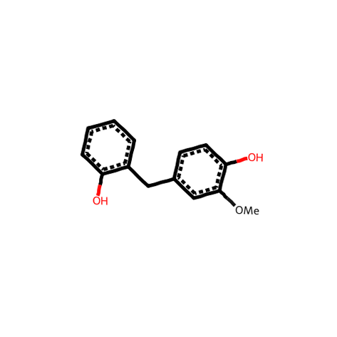 COc1cc(Cc2ccccc2O)ccc1O